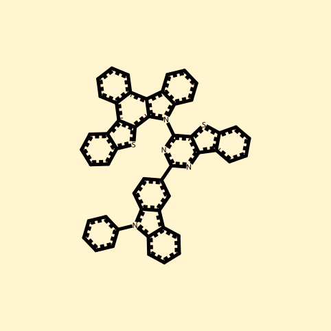 c1ccc(-n2c3ccccc3c3cc(-c4nc(-n5c6ccccc6c6c7ccccc7c7c8ccccc8sc7c65)c5sc6ccccc6c5n4)ccc32)cc1